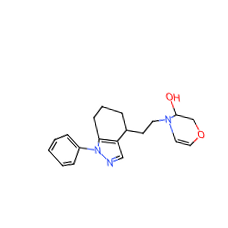 OC1COC=CN1CCC1CCCc2c1cnn2-c1ccccc1